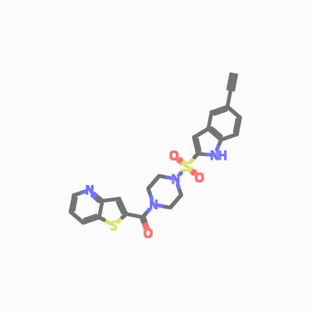 C#Cc1ccc2[nH]c(S(=O)(=O)N3CCN(C(=O)c4cc5ncccc5s4)CC3)cc2c1